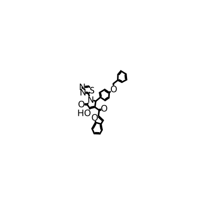 O=C(C1=C(O)C(=O)N(c2nncs2)C1c1ccc(OCc2ccccc2)cc1)c1cc2ccccc2o1